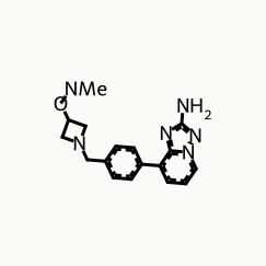 CNOC1CN(Cc2ccc(-c3cccn4nc(N)nc34)cc2)C1